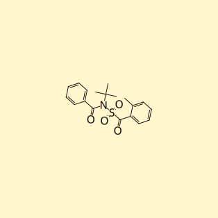 Cc1ccccc1C(=O)S(=O)(=O)N(C(=O)c1ccccc1)C(C)(C)C